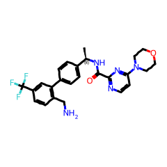 C[C@@H](NC(=O)c1nccc(N2CCOCC2)n1)c1ccc(-c2cc(C(F)(F)F)ccc2CN)cc1